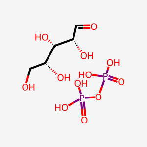 O=C[C@H](O)[C@@H](O)[C@H](O)CO.O=P(O)(O)OP(=O)(O)O